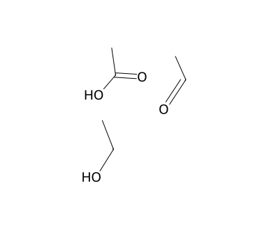 CC(=O)O.CC=O.CCO